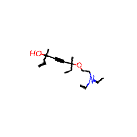 CCN(CC)CCOC(C)(C#CC(C)(O)CC)CC